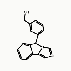 OCc1cccc(C2c3ccccc3-c3cncn32)c1